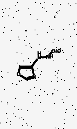 O=CNNc1cocn1